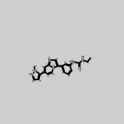 CCNC(=O)Nc1cccc(-c2cnc3cc(-c4ccnn4C)ccn23)c1